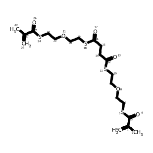 C=C(C)C(=O)SCCOCCSC(=O)CCC(=O)SCCOCCSC(=O)C(=C)C